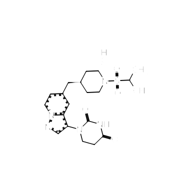 CC(C)S(=O)(=O)N1CC[C@@H](Cc2ccn3ncc(N4CCC(=O)NC4=O)c3c2)C[C@@H]1C